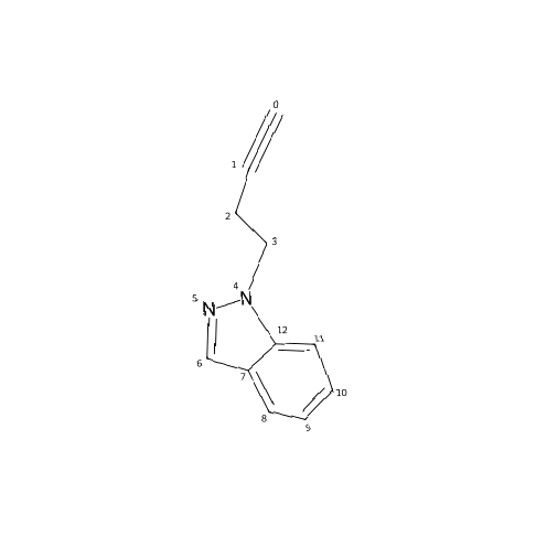 C#CCCn1ncc2ccccc21